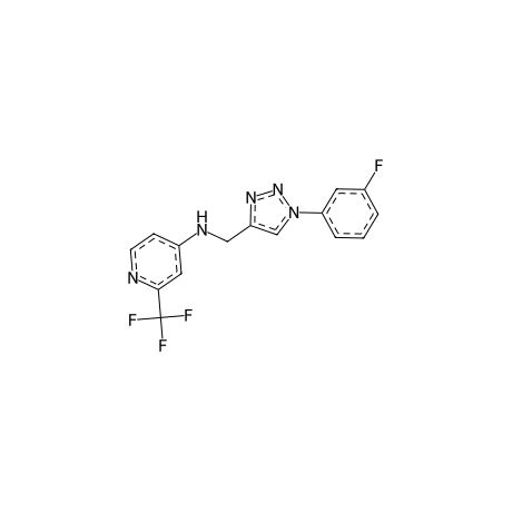 Fc1cccc(-n2cc(CNc3ccnc(C(F)(F)F)c3)nn2)c1